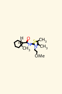 COCCn1c(C)c(C)sc1=NC(=O)C1[C@H]2CCCC[C@@]12C